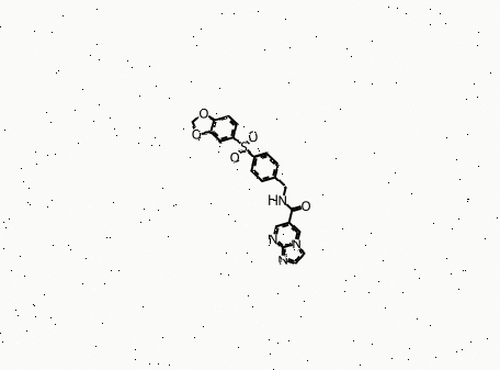 O=C(NCc1ccc(S(=O)(=O)c2ccc3c(c2)OCO3)cc1)c1cnc2nccn2c1